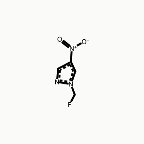 O=[N+]([O-])c1cnn(CF)c1